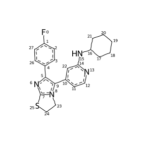 Fc1ccc(-c2nc3n(c2-c2ccnc(NC4CCCCC4)c2)CCS3)cc1